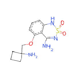 NC1=NS(=O)(=O)Nc2cccc(OCC3(N)CCC3)c21